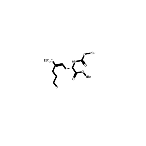 CCOC(=O)C(=CC[C@H](NC(=O)OC(C)(C)C)C(=O)OC(C)(C)C)CCCF